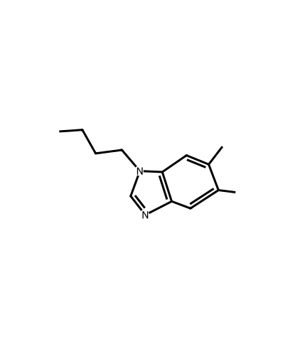 CCCCn1cnc2cc(C)c(C)cc21